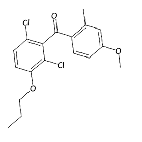 CCCOc1ccc(Cl)c(C(=O)c2ccc(OC)cc2C)c1Cl